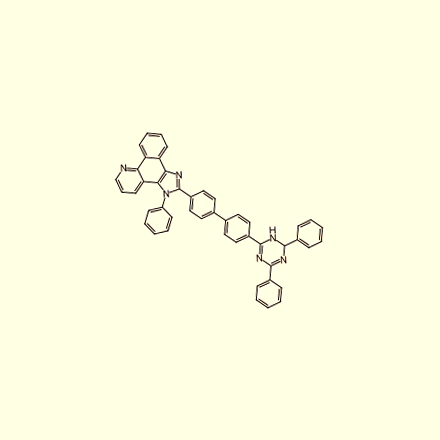 c1ccc(C2=NC(c3ccccc3)NC(c3ccc(-c4ccc(-c5nc6c7ccccc7c7ncccc7c6n5-c5ccccc5)cc4)cc3)=N2)cc1